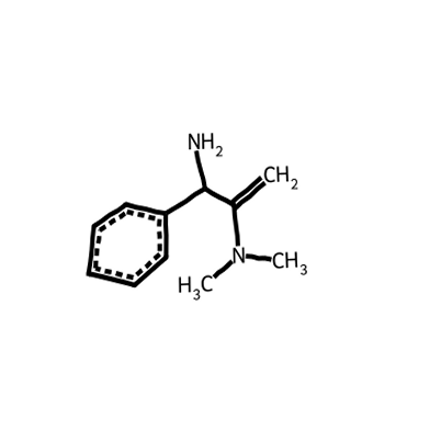 C=C(C(N)c1ccccc1)N(C)C